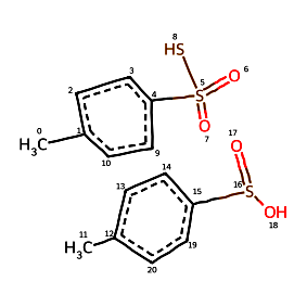 Cc1ccc(S(=O)(=O)S)cc1.Cc1ccc(S(=O)O)cc1